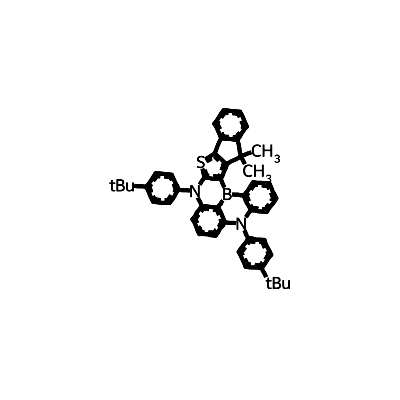 CC(C)(C)c1ccc(N2c3ccccc3B3c4c2cccc4N(c2ccc(C(C)(C)C)cc2)c2sc4c(c23)C(C)(C)c2ccccc2-4)cc1